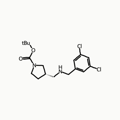 CC(C)(C)OC(=O)N1CC[C@@H](CNCc2cc(Cl)cc(Cl)c2)C1